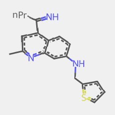 CCCC(=N)c1cc(C)nc2cc(NCc3cccs3)ccc12